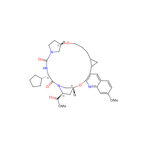 COC(=O)[C@@H]1C[C@@H]2CN1C(=O)[C@H](C1CCCC1)NC(=O)N1CC[C@@H](C1)OCCCC1CC1c1cc3ccc(OC)cc3nc1O2